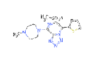 CN1CCN(c2ncc(-c3cccs3)n3nnnc23)CC1.CS(=O)(=O)O